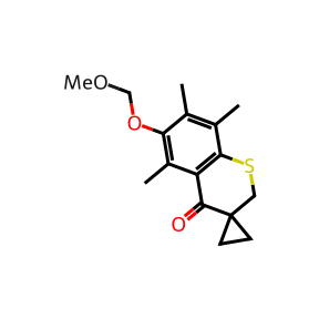 COCOc1c(C)c(C)c2c(c1C)C(=O)C1(CC1)CS2